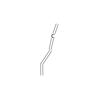 C=C=C=C=C